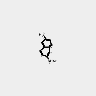 CC(=O)Nc1ccc2cc(C)ccc2c1